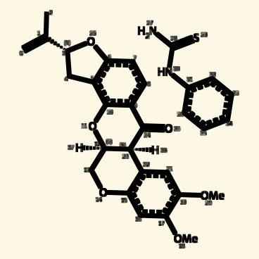 C=C(C)[C@H]1Cc2c(ccc3c2O[C@@H]2COc4cc(OC)c(OC)cc4[C@@H]2C3=O)O1.NC(=S)Nc1ccccc1